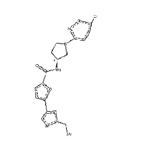 CC(C)Cn1cc(-c2ccc(C(=O)N[C@H]3CCN(c4ccc(Cl)nn4)C3)o2)cn1